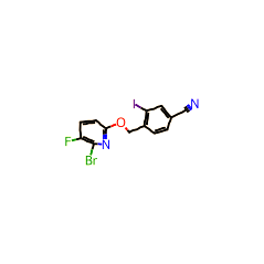 N#Cc1ccc(COc2ccc(F)c(Br)n2)c(I)c1